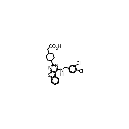 O=C(O)CC1CCC(c2nc(NCc3ccc(Cl)c(Cl)c3)c3c(n2)sc2ccccc23)CC1